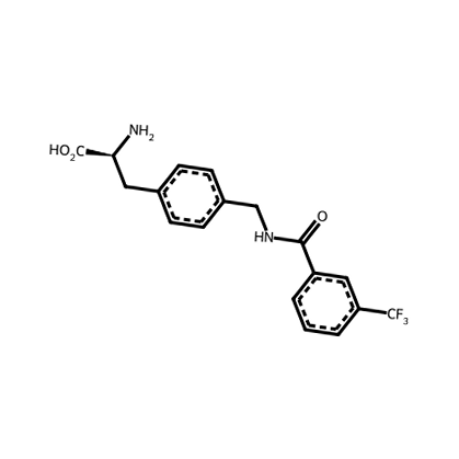 N[C@@H](Cc1ccc(CNC(=O)c2cccc(C(F)(F)F)c2)cc1)C(=O)O